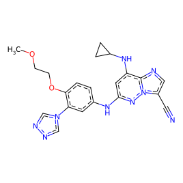 COCCOc1ccc(Nc2cc(NC3CC3)c3ncc(C#N)n3n2)cc1-n1cnnc1